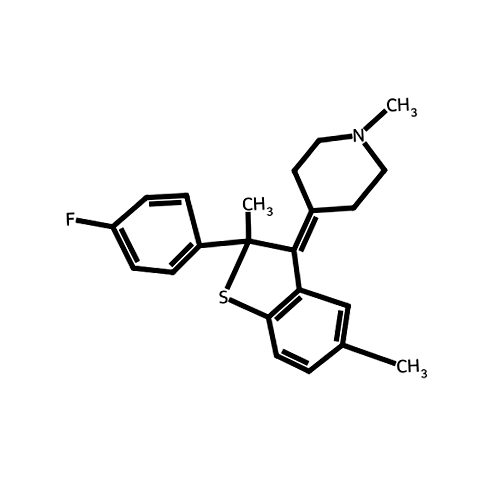 Cc1ccc2c(c1)C(=C1CCN(C)CC1)C(C)(c1ccc(F)cc1)S2